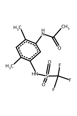 CC(=O)Nc1cc(NS(=O)(=O)C(F)(F)F)c(C)cc1C